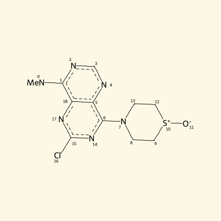 CNc1ncnc2c(N3CC[S+]([O-])CC3)nc(Cl)nc12